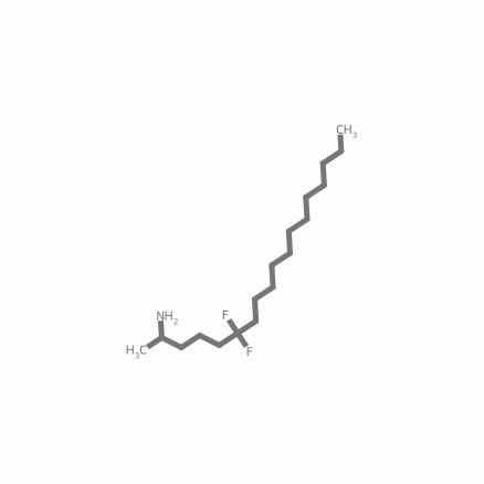 CCCCCCCCCCCCC(F)(F)CCCC(C)N